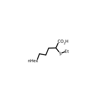 CCCCCCCCCC(SCC)C(=O)O